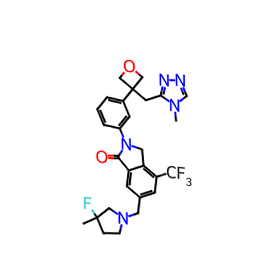 Cn1cnnc1CC1(c2cccc(N3Cc4c(cc(CN5CCC(C)(F)C5)cc4C(F)(F)F)C3=O)c2)COC1